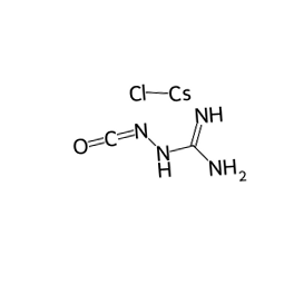 N=C(N)NN=C=O.[Cl][Cs]